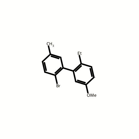 CCc1c[c]c(OC)cc1-c1cc(C)ccc1Br